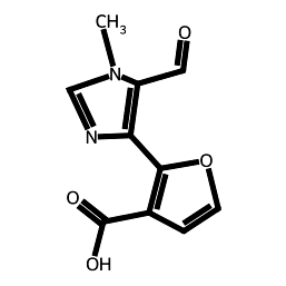 Cn1cnc(-c2occc2C(=O)O)c1C=O